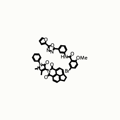 COc1ccc(Br)cc1C(=O)Nc1cccc(-c2nnc(-c3ccco3)o2)c1.Cc1c(N2C(=O)c3ccc4c5c(ccc(c35)C2=O)CC4)c(=O)n(-c2ccccc2)n1C